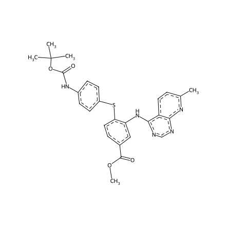 COC(=O)c1ccc(Sc2ccc(NC(=O)OC(C)(C)C)cc2)c(Nc2ncnc3nc(C)ccc23)c1